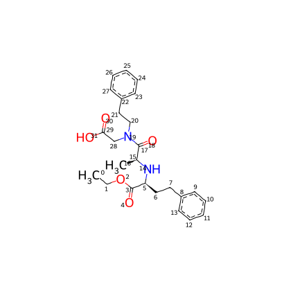 CCOC(=O)[C@H](CCc1ccccc1)N[C@@H](C)C(=O)N(CCc1ccccc1)CC(=O)O